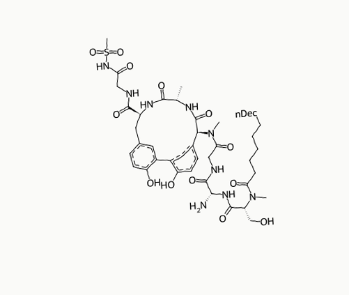 CCCCCCCCCCCCCCCC(=O)N(C)[C@H](CO)C(=O)N[C@H](N)C(=O)NCC(=O)N(C)[C@@H]1C(=O)N[C@@H](C)C(=O)N[C@H](C(=O)NCC(=O)NS(C)(=O)=O)Cc2ccc(O)c(c2)-c2cc1ccc2O